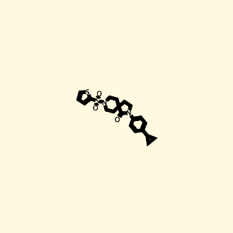 O=C1N(c2ccc(C3CC3)cc2)CCC12CCN(S(=O)(=O)c1cccs1)CC2